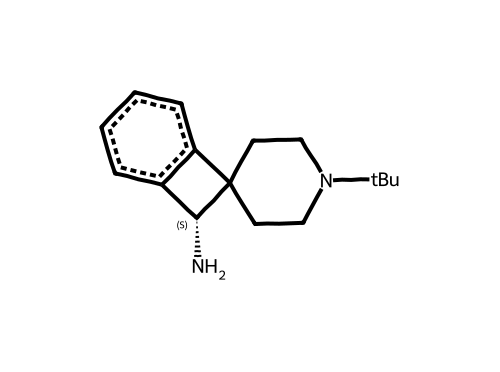 CC(C)(C)N1CCC2(CC1)c1ccccc1[C@H]2N